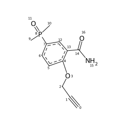 C#CCOc1ccc(P(C)(C)=O)cc1C(N)=O